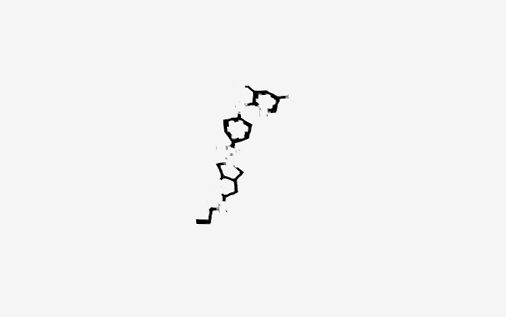 C=CC(=O)NC1CC2CN(S(=O)(=O)c3ccc(Oc4ncc(C(F)(F)F)cc4Cl)cc3)CC2O1